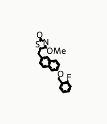 COC1=NC(=O)SC1Cc1ccc2cc(OCc3ccccc3F)ccc2c1